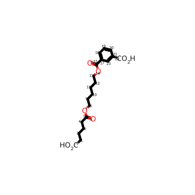 O=C(O)CCCCC(=O)OCCCCCCOC(=O)c1cccc(C(=O)O)c1